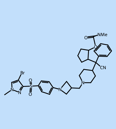 CNC(=O)OC1CCCC1C(C#N)(c1ccccc1)C1CCN(CC2CN(c3ccc(S(=O)(=O)c4nn(C)cc4Br)cc3)C2)CC1